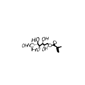 C=C(C)C(=O)OC[C@@H](O)[C@H](O)[C@@H](O)[C@@H](O)C=O